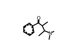 CC(C(=O)c1ccccc1)C(C)N(C)C